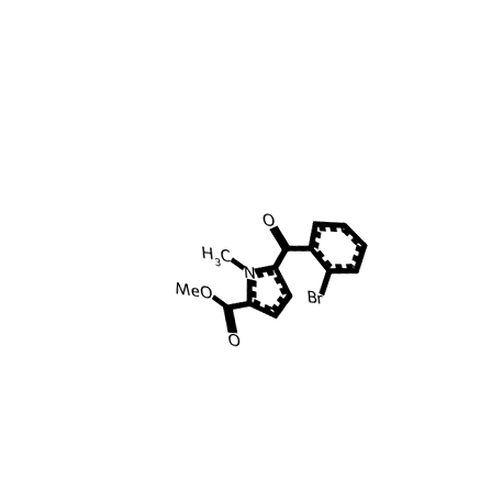 COC(=O)c1ccc(C(=O)c2ccccc2Br)n1C